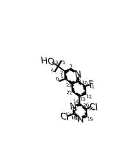 Cc1c(C(C)(C)O)cnc2c(F)cc(-c3nc(Cl)ncc3Cl)cc12